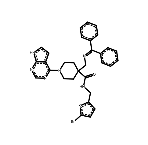 O=C(NCc1ccc(Br)s1)C1(CN=C(c2ccccc2)c2ccccc2)CCN(c2ncnc3[nH]ccc23)CC1